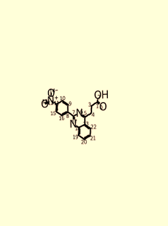 O=C(O)CCc1nc(-c2ccc([N+](=O)[O-])cc2)nc2ccccc12